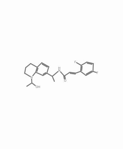 CC(NC(=O)/C=C/c1cc(F)ccc1F)c1ccc2c(c1)N(C(C)O)CCC2